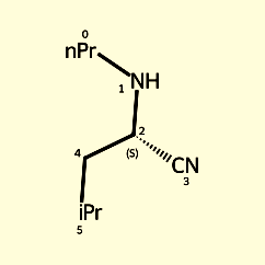 CCCN[C@H](C#N)CC(C)C